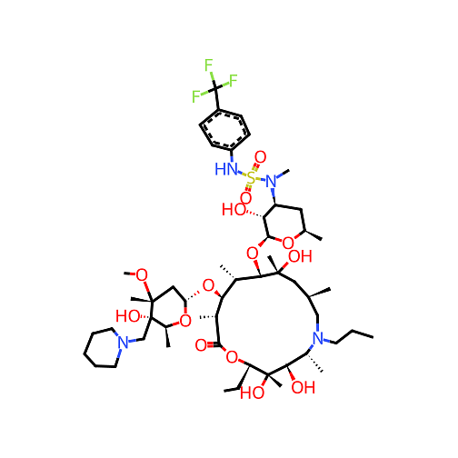 CCCN1C[C@H](C)C[C@@](C)(O)[C@H](O[C@@H]2O[C@H](C)C[C@H](N(C)S(=O)(=O)Nc3ccc(C(F)(F)F)cc3)[C@H]2O)[C@@H](C)[C@H](O[C@H]2C[C@@](C)(OC)[C@](O)(CN3CCCCC3)[C@H](C)O2)[C@@H](C)C(=O)O[C@H](CC)[C@@](C)(O)[C@H](O)[C@H]1C